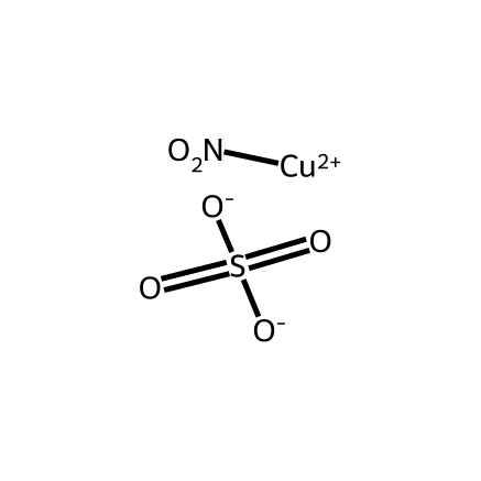 O=S(=O)([O-])[O-].O=[N+]([O-])[Cu+2]